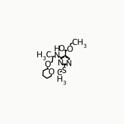 CCOC(=O)c1cnc(SC)nc1N[C@H](C)COC1CCCCO1